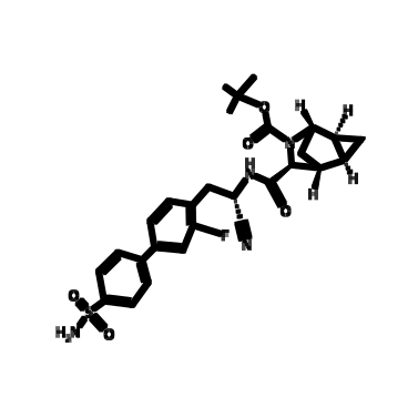 CC(C)(C)OC(=O)N1[C@H](C(=O)N[C@H](C#N)Cc2ccc(-c3ccc(S(N)(=O)=O)cc3)cc2F)[C@@H]2C[C@H]1[C@H]1C[C@@H]21